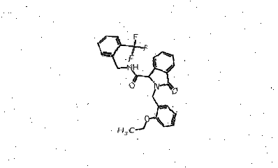 CCOc1ccccc1CN1C(=O)c2ccccc2C1C(=O)NCc1ccccc1C(F)(F)F